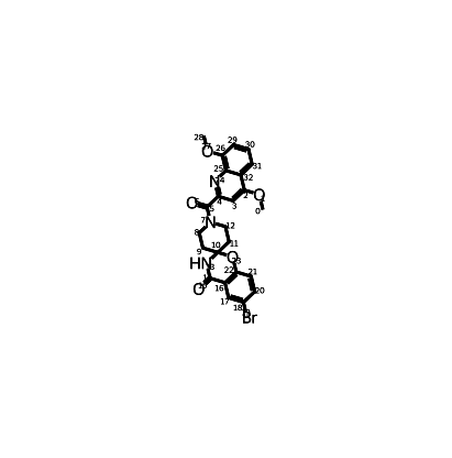 COc1cc(C(=O)N2CCC3(CC2)NC(=O)c2cc(Br)ccc2O3)nc2c(OC)cccc12